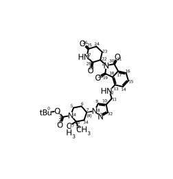 CC(C)(C)OC(=O)N1CC[C@@H](n2cc(CNc3cccc4c3C(=O)N(C3CCC(=O)NC3=O)C4=O)cn2)CC1(C)C